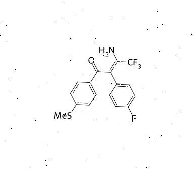 CSc1ccc(C(=O)C(=C(N)C(F)(F)F)c2ccc(F)cc2)cc1